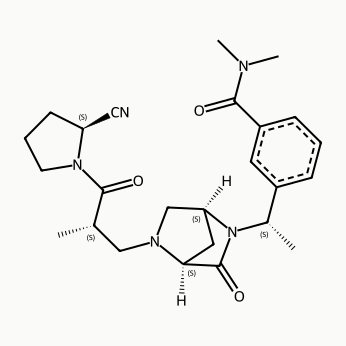 C[C@@H](CN1C[C@@H]2C[C@H]1C(=O)N2[C@@H](C)c1cccc(C(=O)N(C)C)c1)C(=O)N1CCC[C@H]1C#N